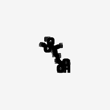 COC(OC)/C(C)=C/CCC(=O)O